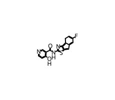 O=C(Nc1nc2c(s1)=CC1=CC(F)=CCC=21)c1cnccc1O